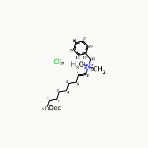 CCCCCCCCCCCCCCCCC=C[N+](C)(C)Cc1ccccc1.[Cl-]